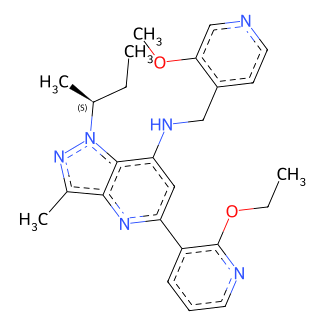 CCOc1ncccc1-c1cc(NCc2ccncc2OC)c2c(n1)c(C)nn2[C@@H](C)CC